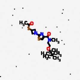 CC(=O)SC1CN(c2nc(C(=O)N(C)CCO[Si](C)(C)C(C)(C)C)cs2)C1